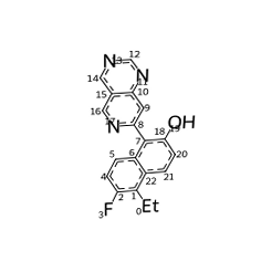 CCc1c(F)ccc2c(-c3cc4ncncc4cn3)c(O)ccc12